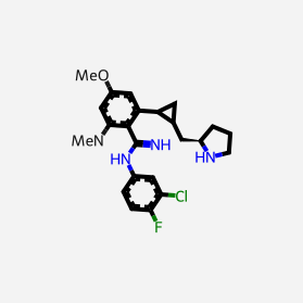 CNc1cc(OC)cc(C2CC2C[C@H]2CCCN2)c1C(=N)Nc1ccc(F)c(Cl)c1